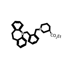 CCOC(=O)[C@@H]1CCCN(Cc2ccccc2CN2c3ccccc3CCc3ccccc32)C1